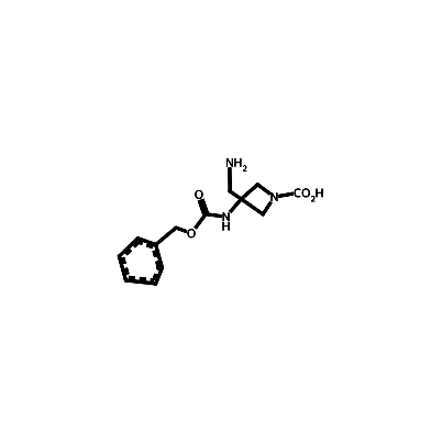 NCC1(NC(=O)OCc2ccccc2)CN(C(=O)O)C1